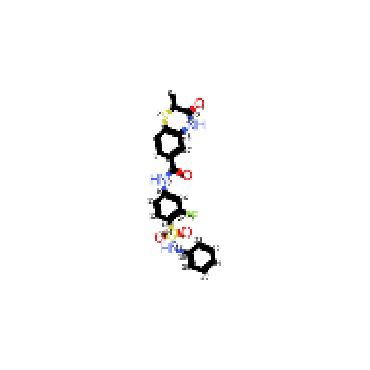 CC1Sc2ccc(C(=O)Nc3ccc(S(=O)(=O)Nc4ccccc4)c(F)c3)cc2NC1=O